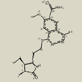 CC[C@@H]1[C@H](F)C(=O)N[C@@H]1CCOc1ncc(F)c2cc(C(N)=O)c(OC)cc12